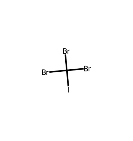 BrC(Br)(Br)I